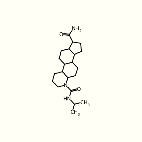 CC(C)NC(=O)N1CCCC2C3CCC4C(C(N)=O)CCC4C3CCC21